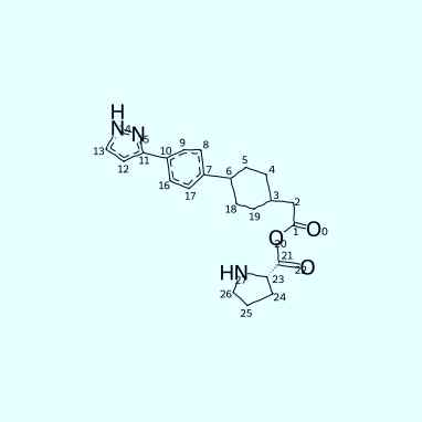 O=C(CC1CCC(c2ccc(-c3cc[nH]n3)cc2)CC1)OC(=O)[C@@H]1CCCN1